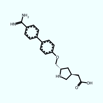 N=C(N)c1ccc(-c2ccc(OC[C@@H]3C[C@@H](CC(=O)O)CN3)cc2)cc1